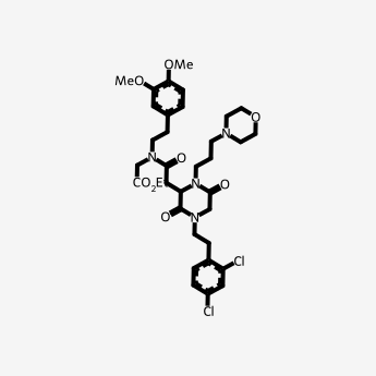 CCOC(=O)CN(CCc1ccc(OC)c(OC)c1)C(=O)CC1C(=O)N(CCc2ccc(Cl)cc2Cl)CC(=O)N1CCCN1CCOCC1